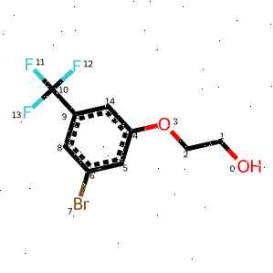 OCCOc1cc(Br)cc(C(F)(F)F)c1